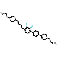 CCCC1=CCC(/C=C/CCc2ccc(-c3ccc(C4=CCC(CCC)CC4)cc3)c(F)c2F)CC1